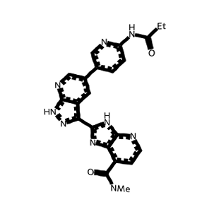 CCC(=O)Nc1ccc(-c2cnc3[nH]nc(-c4nc5c(C(=O)NC)ccnc5[nH]4)c3c2)cn1